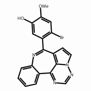 COc1cc(Br)c(C2=Nc3ccccc3-c3ncnn4ccc2c34)cc1O